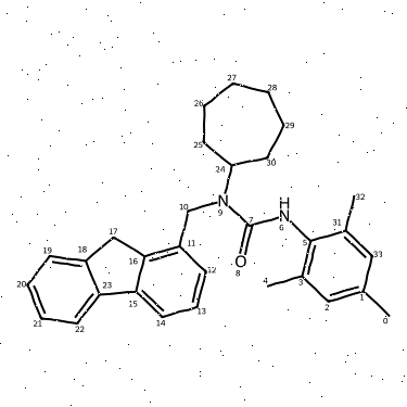 Cc1cc(C)c(NC(=O)N(Cc2cccc3c2Cc2ccccc2-3)C2CCCCCC2)c(C)c1